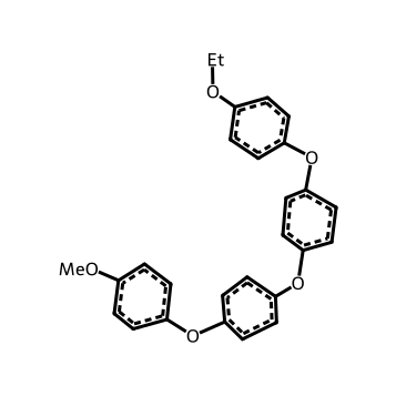 CCOc1ccc(Oc2ccc(Oc3ccc(Oc4ccc(OC)cc4)cc3)cc2)cc1